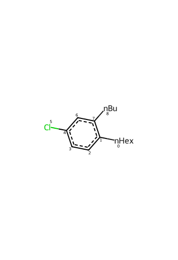 CCCCCCc1ccc(Cl)cc1CCCC